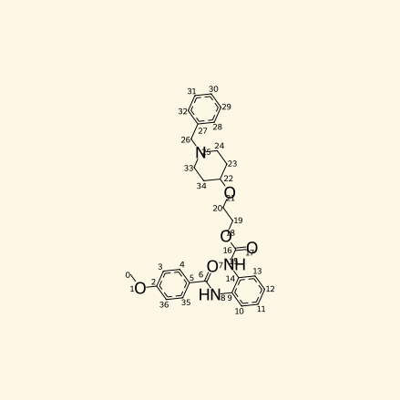 COc1ccc(C(=O)Nc2ccccc2NC(=O)OCCOC2CCN(Cc3ccccc3)CC2)cc1